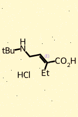 CC/C(=C\CNC(C)(C)C)C(=O)O.Cl